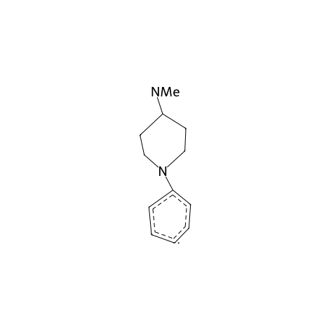 CNC1CCN(c2cc[c]cc2)CC1